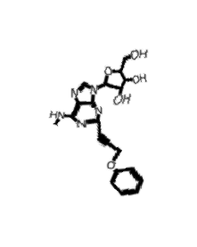 CNc1nc(C#CCOc2ccccc2)nc2c1ncn2C1OC(CO)C(O)C1O